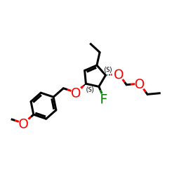 CCOCO[C@H]1C(CC)=C[C@H](OCc2ccc(OC)cc2)C1F